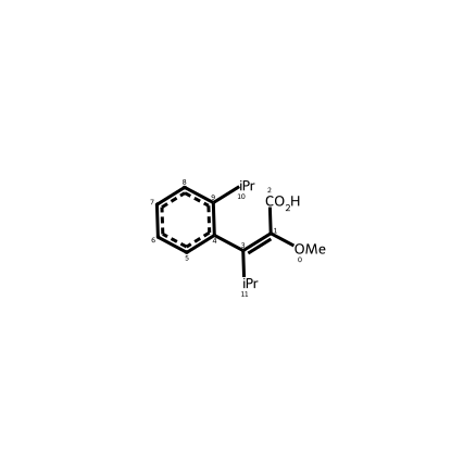 COC(C(=O)O)=C(c1ccccc1C(C)C)C(C)C